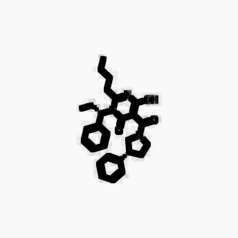 CCCCc1nc(O)c(C(=O)N2CC[C@H](c3ccccc3)C2)c(=O)n1[C@@H](CC)c1ccccc1